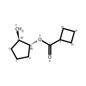 C[C@@H]1CCC[C@H]1OC(=O)C1CCC1